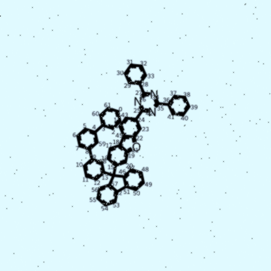 c1ccc(-c2cccc(-c3cccc(C4(c5ccc6c(c5)oc5cc(-c7nc(-c8ccccc8)nc(-c8ccccc8)n7)ccc56)c5ccccc5-c5ccccc54)c3)c2)cc1